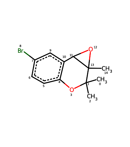 CC1(C)Oc2ccc(Br)cc2C2OC21C